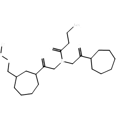 CCSSCC1CCCCC(C(=O)CN(CC(=O)C2CCCCCC2)C(=O)CCN)C1